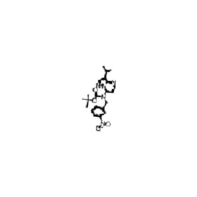 CC(C)c1cnn2c(N(Cc3cccc([N+](=O)[O-])c3)C(=O)OC(C)(C)C)ccnc12